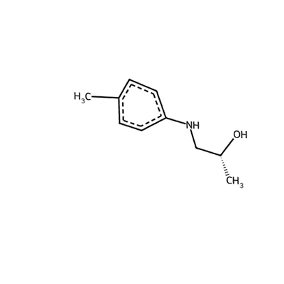 Cc1ccc(NC[C@@H](C)O)cc1